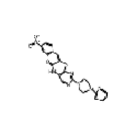 O=C1Nc2cnc(N3CCN(c4ccccn4)CC3)nc2S/C1=C/c1ccc([N+](=O)[O-])cc1